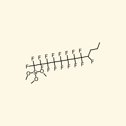 CCCC(F)C(F)(F)C(F)(F)C(F)(F)C(F)(F)C(F)(F)C(F)(F)C(F)(F)C(F)(F)[Si](OC)(OC)OC